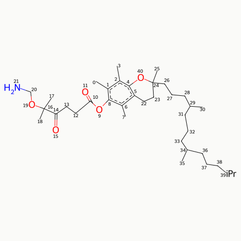 Cc1c(C)c2c(c(C)c1OC(=O)CCC(=O)C(C)(C)OCN)CCC(C)(CCCC(C)CCCC(C)CCCC(C)C)O2